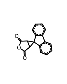 O=C1OC(=O)C2C1C21c2ccccc2-c2ccccc21